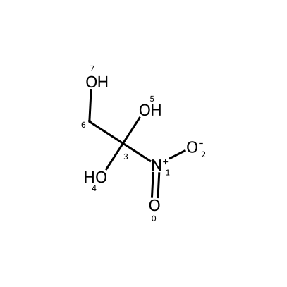 O=[N+]([O-])C(O)(O)CO